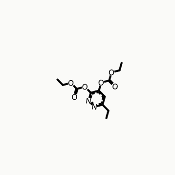 CCOC(=O)Oc1cc(CC)nnc1OC(=O)OCC